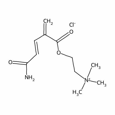 C=C(C=CC(N)=O)C(=O)OCC[N+](C)(C)C.[Cl-]